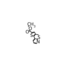 CCOC(=O)c1cc2c(s1)-c1cccnc1SC2